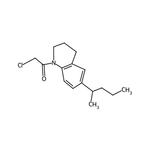 CCCC(C)c1ccc2c(c1)CCCN2C(=O)CCl